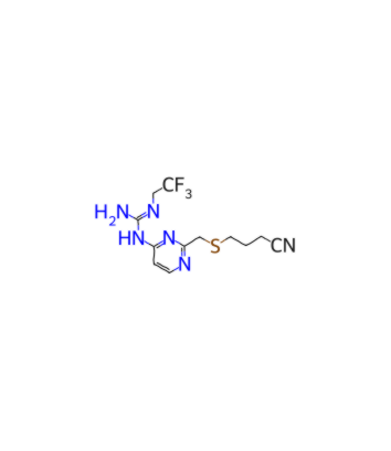 N#CCCCSCc1nccc(NC(N)=NCC(F)(F)F)n1